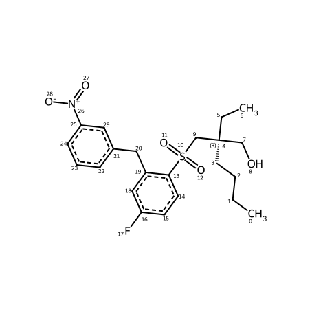 CCCC[C@](CC)(CO)CS(=O)(=O)c1ccc(F)cc1Cc1cccc([N+](=O)[O-])c1